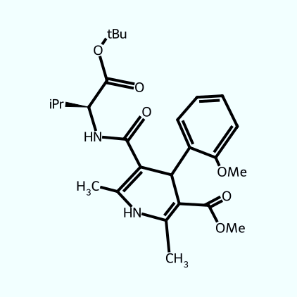 COC(=O)C1=C(C)NC(C)=C(C(=O)N[C@H](C(=O)OC(C)(C)C)C(C)C)C1c1ccccc1OC